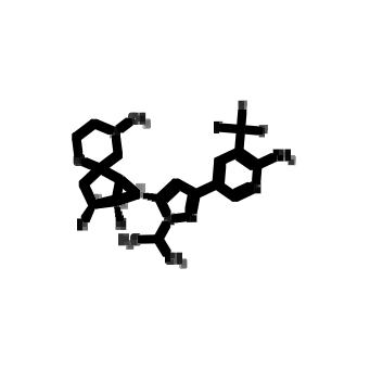 CC(C)n1nc(-c2cnc(N)c(C(F)(F)F)c2)cc1[C@]12C3[C@@H]1[C@@H]2CC31CN(C)CCO1